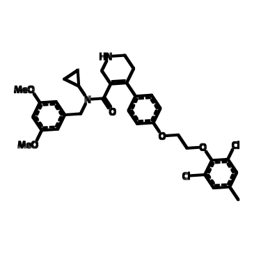 COc1cc(CN(C(=O)C2=C(c3ccc(OCCOc4c(Cl)cc(C)cc4Cl)cc3)CCNC2)C2CC2)cc(OC)c1